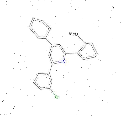 COc1ccccc1-c1cc(-c2ccccc2)cc(-c2cccc(Br)c2)n1